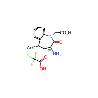 CC(=O)OC1C[C@H](N)C(=O)N(CC(=O)O)c2ccccc21.O=C(O)C(F)(F)F